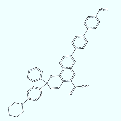 CCCCCc1ccc(-c2ccc(-c3ccc4c5c(c(C(=O)OC)cc4c3)C=CC(c3ccccc3)(c3ccc(N4CCCCC4)cc3)O5)cc2)cc1